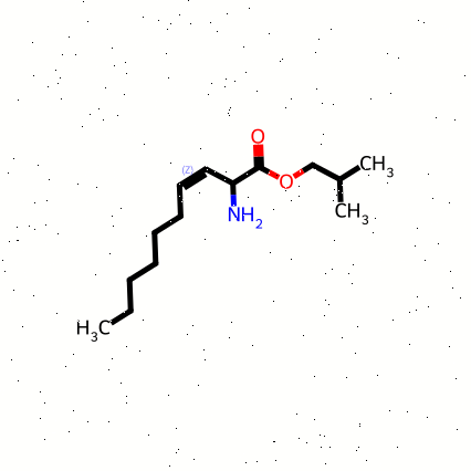 CCCCCC/C=C\C(N)C(=O)OCC(C)C